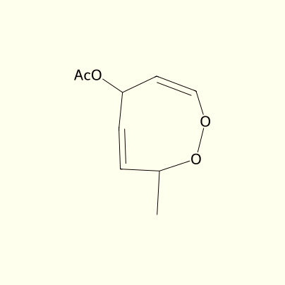 CC(=O)OC1/C=C\OOC(C)/C=C\1